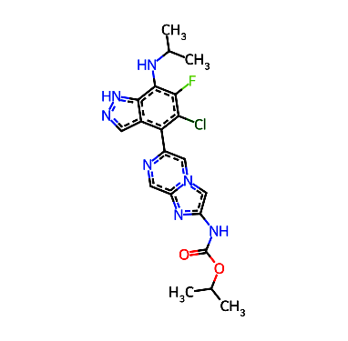 CC(C)Nc1c(F)c(Cl)c(-c2cn3cc(NC(=O)OC(C)C)nc3cn2)c2cn[nH]c12